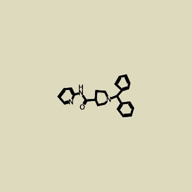 O=C(Nc1ccccn1)C1CCN(C(c2ccccc2)c2ccccc2)CC1